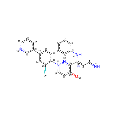 N=C/C=C(\Nc1ccccc1)c1nn(-c2ccc(-c3cccnc3)cc2F)ccc1=O